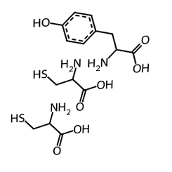 NC(CS)C(=O)O.NC(CS)C(=O)O.NC(Cc1ccc(O)cc1)C(=O)O